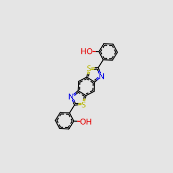 Oc1ccccc1-c1nc2cc3sc(-c4ccccc4O)nc3cc2s1